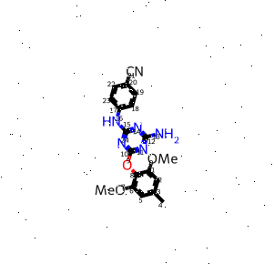 COc1cc(C)cc(OC)c1Oc1nc(N)nc(Nc2ccc(C#N)cc2)n1